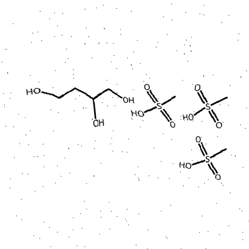 CS(=O)(=O)O.CS(=O)(=O)O.CS(=O)(=O)O.OCCC(O)CO